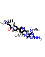 CCCCNc1nc(N)nc2cnn(Cc3ncc(C4CCN(C(=O)CCN(C)C)CC4)cc3OC)c12